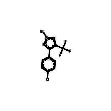 FC(F)(F)c1nn(Br)nc1-c1ccc(Cl)cc1